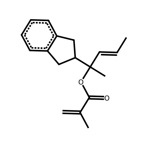 C=C(C)C(=O)OC(C)(/C=C/C)C1Cc2ccccc2C1